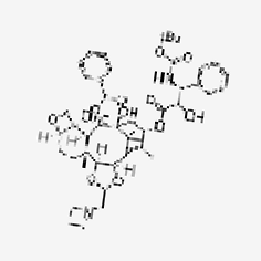 CC(=O)O[C@@]12CO[C@@H]1CC[C@@]1(C)[C@@H]3O[C@H](CN4CCC4)O[C@@H]3C3=C(C)[C@@H](OC(=O)[C@H](O)[C@@H](NC(=O)OC(C)(C)C)c4ccccc4)C[C@@](O)([C@@H](OC(=O)c4ccccc4)[C@@H]12)C3(C)C